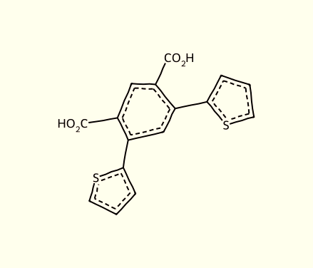 O=C(O)c1cc(C(=O)O)c(-c2cccs2)cc1-c1cccs1